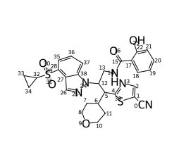 N#Cc1cnc(C(C2CCOCC2)C(CNC(=O)c2ccccc2O)n2ncc3c(S(=O)(=O)C4CC4)cccc32)s1